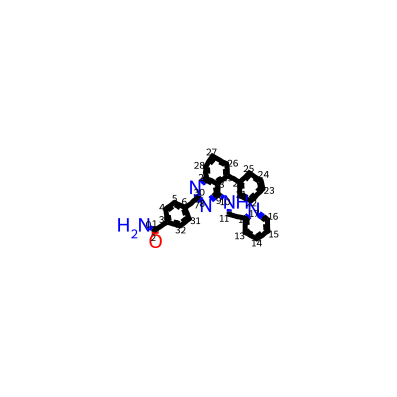 NC(=O)c1ccc(-c2nc(NCc3ccccn3)c3c(-c4ccccc4)cccc3n2)cc1